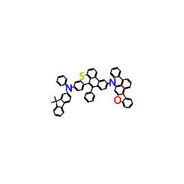 CC1(C)c2ccccc2-c2ccc(N(c3ccccc3)c3ccc4c(c3)Sc3cccc5c3c-4c(-c3ccccc3)c3ccc(N(c4ccc6c(c4)oc4ccccc46)c4ccccc4-c4ccccc4)cc35)cc21